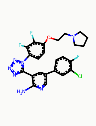 Nc1ncc(-c2ccc(F)c(Cl)c2)cc1-c1nnnn1-c1ccc(OCCN2CCCC2)c(F)c1F